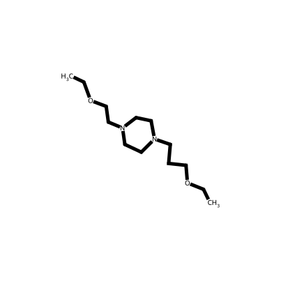 CCOCCCN1CCN(CCOCC)CC1